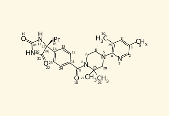 Cc1cnc(N2CCN(C(=O)c3ccc([C@@]4(C(C)C)NC(=O)NC4=O)cc3)C(C)(C)C2)c(C)c1